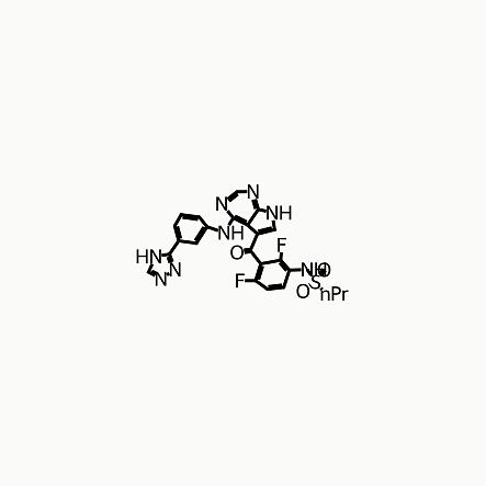 CCCS(=O)(=O)Nc1ccc(F)c(C(=O)c2c[nH]c3ncnc(Nc4cccc(-c5nnc[nH]5)c4)c23)c1F